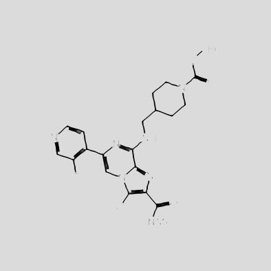 CNC(=O)c1nc2c(NCC3CCN(C(=O)OC(C)(C)C)CC3)nc(-c3ccncc3F)cn2c1C